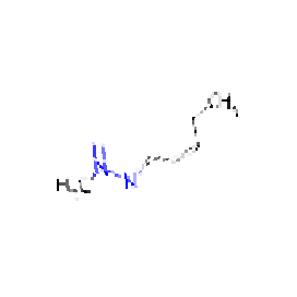 CC/C=C\C=NNC